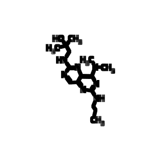 CCCNc1nc(N(C)C)c2nc(NCC(C)(C)O)ncc2n1